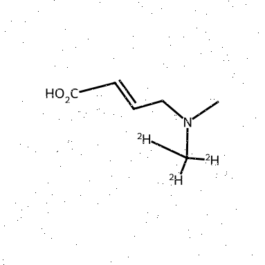 [2H]C([2H])([2H])N(C)C/C=C/C(=O)O